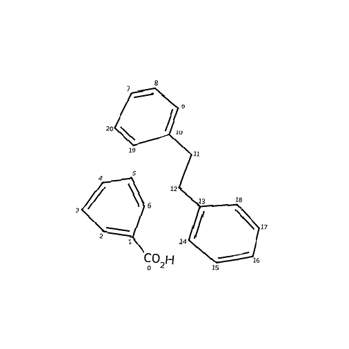 O=C(O)c1ccccc1.c1ccc(CCc2ccccc2)cc1